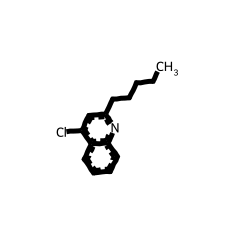 CCCCCc1cc(Cl)c2ccccc2n1